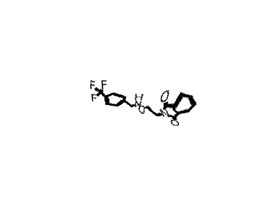 O=C1c2ccccc2C(=O)N1CCONCc1ccc(C(F)(F)F)cc1